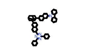 c1ccc(-c2nc(-c3ccccc3)nc(-c3ccc4cc(C56CC7CC(C5)CC(c5ccc8cc(-n9c%10ccccc%10c%10ccccc%109)ccc8c5)(C7)C6)ccc4c3)n2)cc1